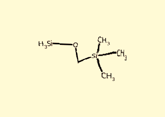 C[Si](C)(C)CO[SiH3]